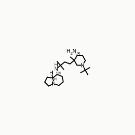 CC(C)(CCC1(C)CN(C(C)(C)C)CC[C@H]1N)N[C@@H]1CCCN2CCC[C@H]12